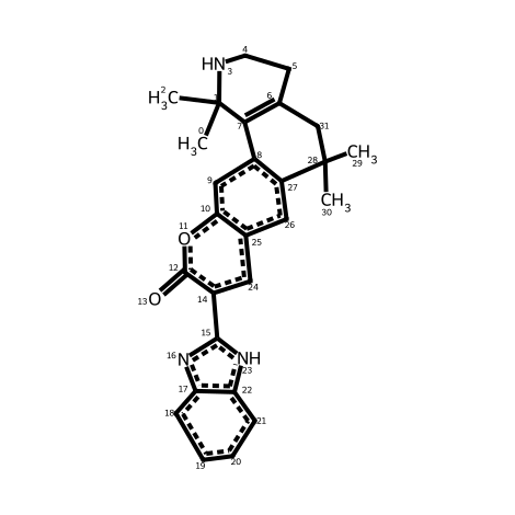 CC1(C)NCCC2=C1c1cc3oc(=O)c(-c4nc5ccccc5[nH]4)cc3cc1C(C)(C)C2